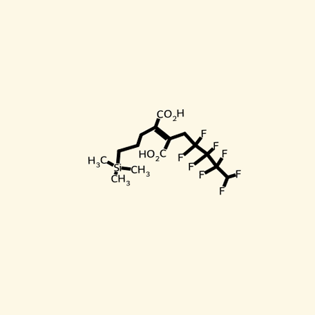 C[Si](C)(C)CCCC(C(=O)O)=C(CC(F)(F)C(F)(F)C(F)(F)C(F)F)C(=O)O